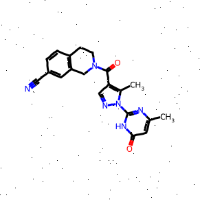 Cc1cc(=O)[nH]c(-n2ncc(C(=O)N3CCc4ccc(C#N)cc4C3)c2C)n1